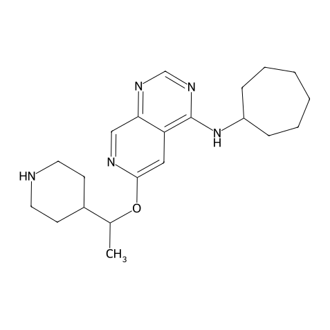 CC(Oc1cc2c(NC3CCCCCC3)ncnc2cn1)C1CCNCC1